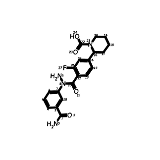 NC(=O)c1cccc(N(N)C(=O)c2ccc(C3CCCCN3C(=O)O)cc2F)c1